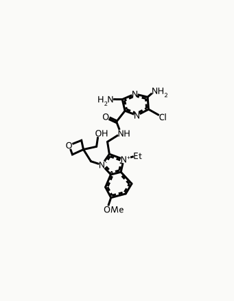 CC[n+]1c(CNC(=O)c2nc(Cl)c(N)nc2N)n(CC2(CO)COC2)c2cc(OC)ccc21